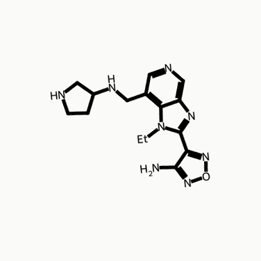 CCn1c(-c2nonc2N)nc2cncc(CNC3CCNC3)c21